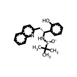 CC(C)(C)[S+]([O-])N[C@H](Cc1ccc2ccccc2n1)c1ccccc1O